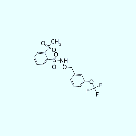 CS(=O)(=O)c1ccccc1S(=O)(=O)NOCc1cccc(OC(F)(F)F)c1